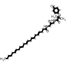 CCC=CCC=CCC=CCC=CCC=CCC=CCCC(=O)NCC(=O)CNC(=O)C(C)(C)Oc1ccc(Cl)cc1